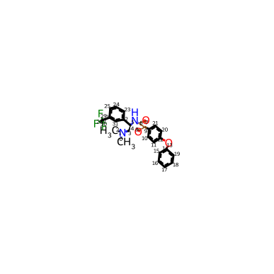 CN(C)C[C@H](NS(=O)(=O)c1ccc(Oc2ccccc2)cc1)c1cccc(C(F)(F)F)c1